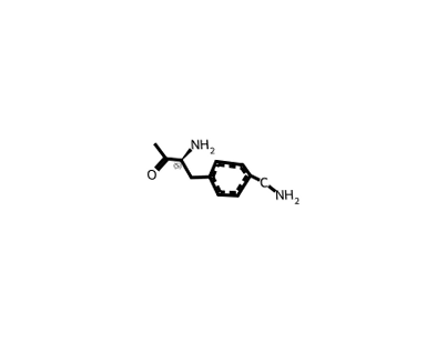 CC(=O)[C@@H](N)Cc1ccc(CN)cc1